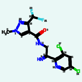 Cn1cc(C(=O)NCC(=N)c2ncc(Cl)cc2Cl)c(C(F)F)n1